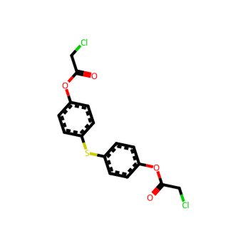 O=C(CCl)Oc1ccc(Sc2ccc(OC(=O)CCl)cc2)cc1